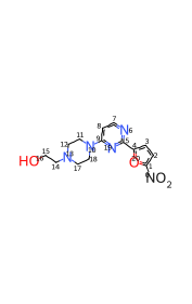 O=[N+]([O-])c1ccc(-c2nccc(N3CCN(CCO)CC3)n2)o1